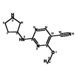 COc1nc(NC2CCNC2)ncc1C#N